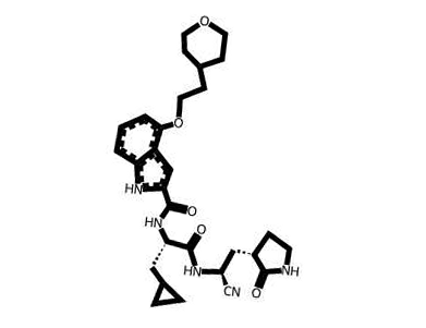 N#C[C@H](C[C@@H]1CCNC1=O)NC(=O)[C@H](CC1CC1)NC(=O)c1cc2c(OCCC3CCOCC3)cccc2[nH]1